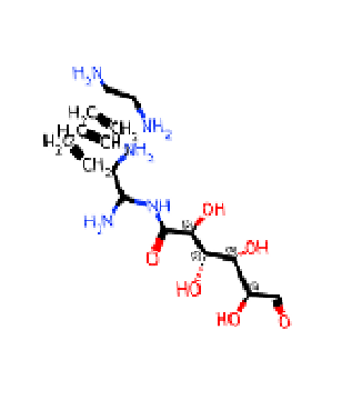 C=C.C=C.C=C.NCC(N)NC(=O)[C@@H](O)[C@@H](O)[C@H](O)[C@H](O)C=O.NCCN